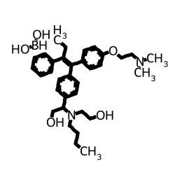 CCCCN(CCO)C(CO)c1ccc(C(=C(CC)c2ccccc2)c2ccc(OCCN(C)C)cc2)cc1.OBO